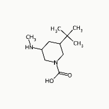 CNC1CC(C(C)(C)C)CN(C(=O)O)C1